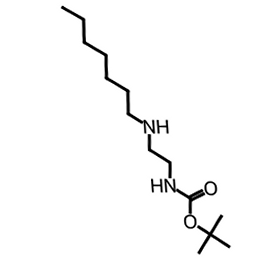 CCCCCCCNCCNC(=O)OC(C)(C)C